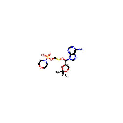 CC1(C)OC[C@@H](C(OSCOP(=O)(O)N2CCOCC2)n2cnc3c(N)ncnc32)O1